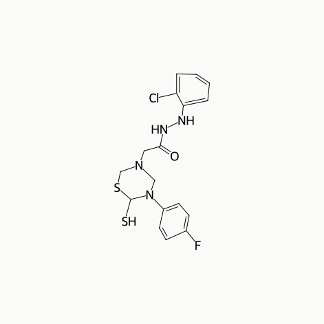 O=C(CN1CSC(S)N(c2ccc(F)cc2)C1)NNc1ccccc1Cl